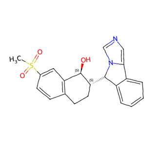 CS(=O)(=O)c1ccc2c(c1)[C@@H](O)[C@H](C1c3ccccc3-c3cncn31)CC2